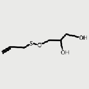 C=CCSOCC(O)CO